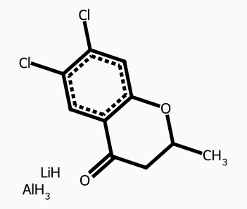 CC1CC(=O)c2cc(Cl)c(Cl)cc2O1.[AlH3].[LiH]